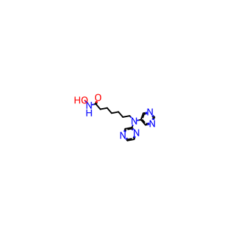 O=C(CCCCCCN(c1cncnc1)c1cnccn1)NO